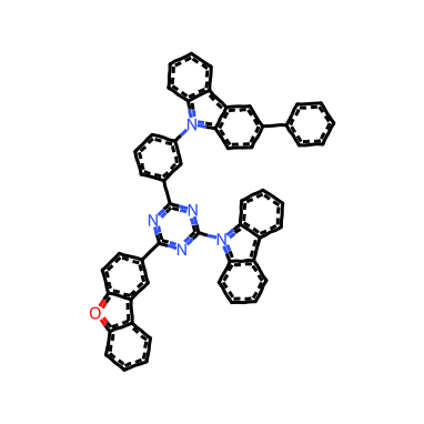 c1ccc(-c2ccc3c(c2)c2ccccc2n3-c2cccc(-c3nc(-c4ccc5oc6ccccc6c5c4)nc(-n4c5ccccc5c5ccccc54)n3)c2)cc1